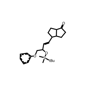 CC(C)(C)[Si](C)(C)OC(C=CC1CCC2C(=O)CCC12)COc1ccccc1